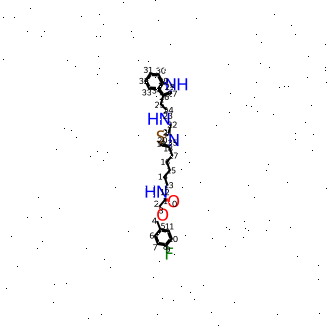 O=C(COCc1ccc(F)cc1)NCCCCCc1csc(CNCCc2c[nH]c3ccccc23)n1